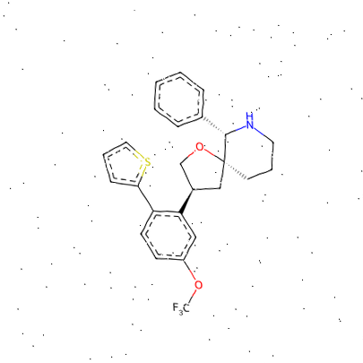 FC(F)(F)Oc1ccc(-c2cccs2)c([C@H]2CO[C@]3(CCCN[C@H]3c3ccccc3)C2)c1